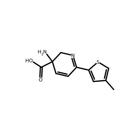 Cc1csc(C2=NCC(N)(C(=O)O)C=C2)c1